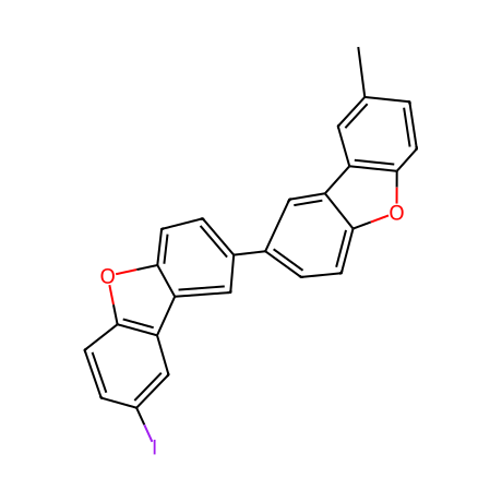 Cc1ccc2oc3ccc(-c4ccc5oc6ccc(I)cc6c5c4)cc3c2c1